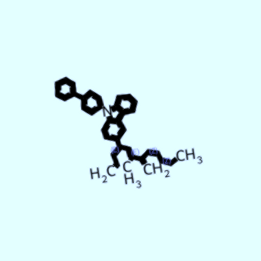 C=C/C=C(\C=C(/C)C(=C)/C=C\C=C/C)c1ccc2c(c1)c1ccccc1n2-c1ccc(-c2ccccc2)cc1